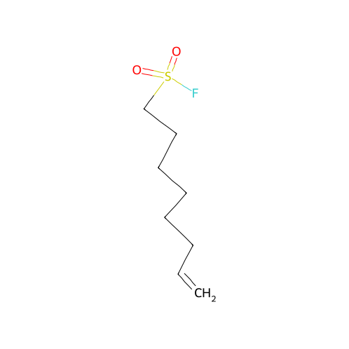 C=CCCCCCCS(=O)(=O)F